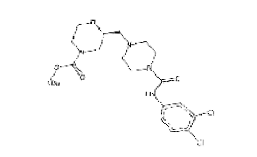 CC(C)(C)OC(=O)N1CCO[C@@H](CN2CCN(C(=O)Nc3ccc(Cl)c(Cl)c3)CC2)C1